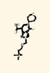 C[Si](C)(C)CCOCn1cc2c(=O)n(C3CCOCC3)cc(C(=O)O)c2n1